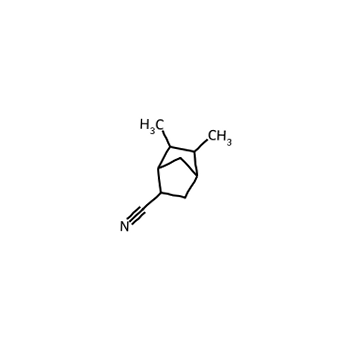 CC1C2CC(C#N)C(C2)C1C